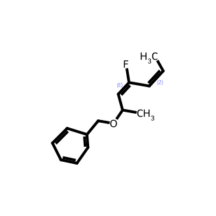 C/C=C\C(F)=C/C(C)OCc1ccccc1